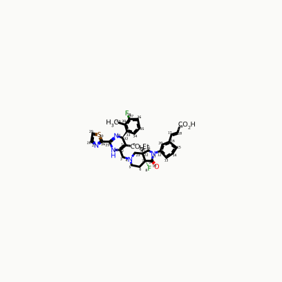 CCOC(=O)C1=C(CN2CC[C@]3(F)C(=O)N(c4cccc(/C=C/C(=O)O)c4)C[C@@H]3C2)NC(c2nccs2)=N[C@H]1c1cccc(F)c1C